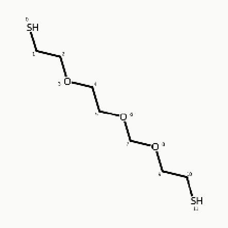 SCCOCCOCOCCS